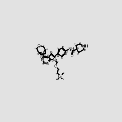 C[Si](C)(C)CCOCn1c(-c2ccc(NC(=O)C3CCNCC3)cc2)cc2c(N3C4CCC3COC4)ncnc21